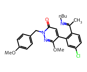 CCCCN=C(C)c1ccc(Cl)cc1-c1cc(=O)n(Cc2ccc(OC)cc2)nc1OC